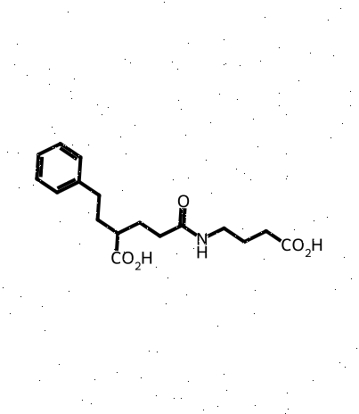 O=C(O)CCCNC(=O)CCC(CCc1ccccc1)C(=O)O